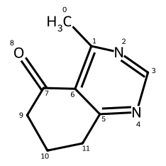 Cc1ncnc2c1C(=O)CCC2